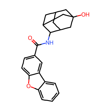 O=C(NC1C2CC3CC1CC(O)(C3)C2)c1ccc2oc3ccccc3c2c1